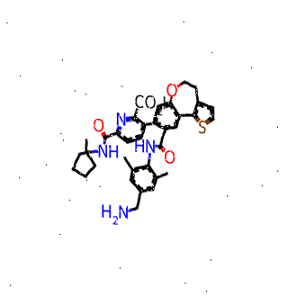 Cc1cc(CN)cc(C)c1NC(=O)c1cc2c(cc1-c1ccc(C(=O)NC3(C)CCCC3)nc1C(=O)O)OCCc1ccsc1-2